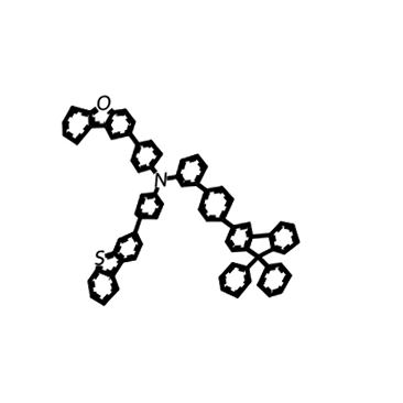 c1ccc(C2(c3ccccc3)c3ccccc3-c3cc(-c4ccc(-c5cccc(N(c6ccc(-c7ccc8c(c7)sc7ccccc78)cc6)c6ccc(-c7ccc8oc9ccccc9c8c7)cc6)c5)cc4)ccc32)cc1